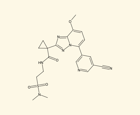 COc1ccc(-c2cncc(C#N)c2)n2nc(C3(C(=O)NCCS(=O)(=O)N(C)C)CC3)nc12